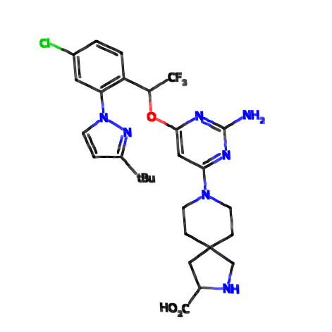 CC(C)(C)c1ccn(-c2cc(Cl)ccc2C(Oc2cc(N3CCC4(CC3)CNC(C(=O)O)C4)nc(N)n2)C(F)(F)F)n1